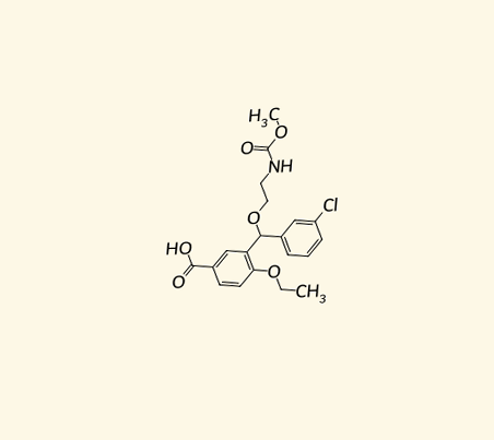 CCOc1ccc(C(=O)O)cc1C(OCCNC(=O)OC)c1cccc(Cl)c1